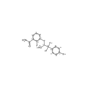 NC(=O)c1cccc(CC(O)C(F)(F)c2ccc(F)cc2)c1F